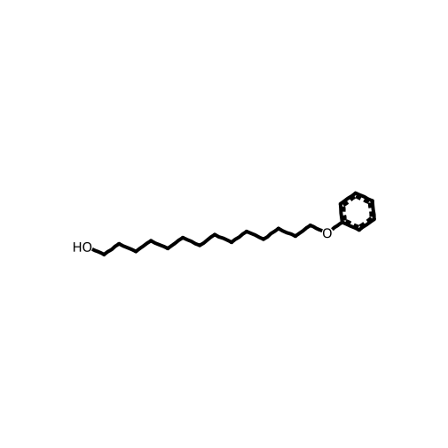 OCCCCCCCCCCCCCCOc1ccccc1